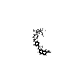 CC(C)(C)OC(=O)N1CCN(Oc2ccc(NCc3ccc4ccc(C#N)cc4c3)cc2)CC1